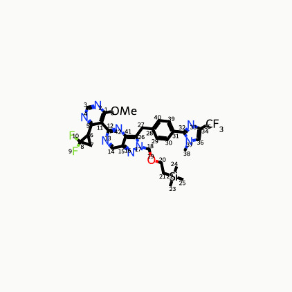 COc1ncnc(C2CC2(F)F)c1-c1ncc2nn(COCC[Si](C)(C)C)c(Cc3ccc(-c4nc(C(F)(F)F)cn4C)cc3)c2n1